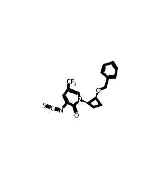 O=c1c(N=C=S)cc(C(F)(F)F)cn1[C@@H]1CC[C@@H]1OCc1ccccc1